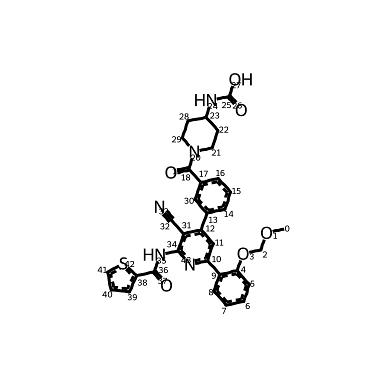 COCOc1ccccc1-c1cc(-c2cccc(C(=O)N3CCC(NC(=O)O)CC3)c2)c(C#N)c(NC(=O)c2cccs2)n1